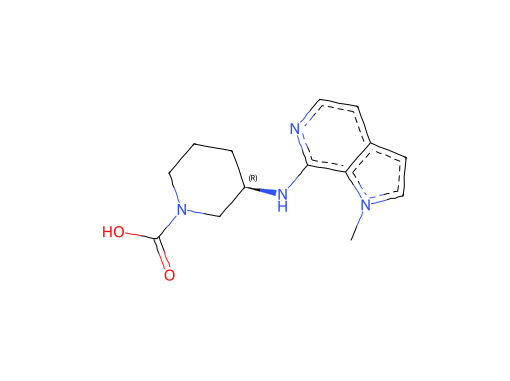 Cn1ccc2ccnc(N[C@@H]3CCCN(C(=O)O)C3)c21